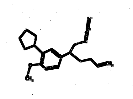 C=CCCC(CN=[N+]=[N-])c1ccc(OC)c(C2CCCC2)c1